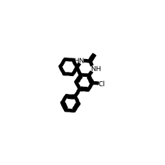 C=C1Nc2c(Cl)cc(-c3ccccc3)cc2C2(CCCCC2)N1